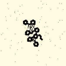 C=C/C=C\c1cc2c(cc1-c1ccccc1-c1cc3ccccc3n1-c1nc(-c3ccccc3)c3ccccc3n1)c1ccccc1n2-c1ccccc1